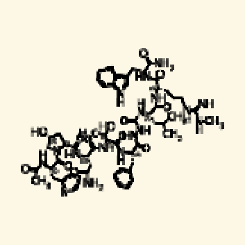 CNC(=N)NCCC[C@H](NC(=O)[C@H](CC(C)C)NC(=O)NNC(=O)[C@H](Cc1ccccc1)NC(=O)[C@@H](NC(=O)[C@H](CC(N)=O)NC(=O)[C@@H]1C[C@@H](O)CN1C(=O)[C@H](Cc1ccccn1)NC(C)=O)[C@@H](C)O)C(=O)N[C@@H](Cc1c[nH]c2ccccc12)C(N)=O